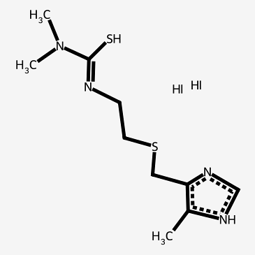 Cc1[nH]cnc1CSCC/N=C(\S)N(C)C.I.I